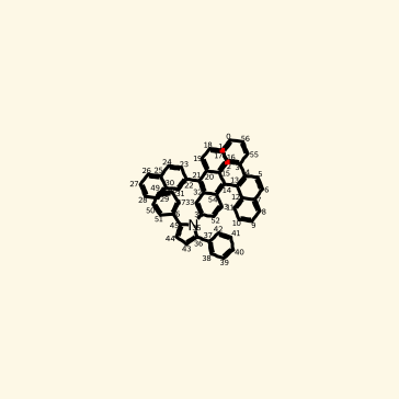 c1ccc(-c2ccc3ccccc3c2-c2c3ccccc3c(-c3ccc4ccccc4c3)c3cc(-n4c(-c5ccccc5)ccc4-c4ccccc4)ccc23)cc1